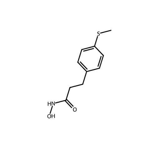 CSc1ccc(CCC(=O)NO)cc1